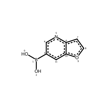 OB(O)c1cnc2ccoc2c1